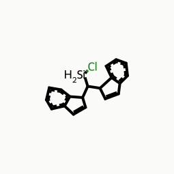 Cl[SiH2]C(C1C=Cc2ccccc21)C1C=Cc2ccccc21